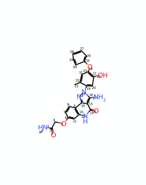 CNC(=O)COc1ccc2c(c1)[nH]c(=O)c1c(N)n(-c3cc(O)c(Oc4ccccc4)cc3C)nc12